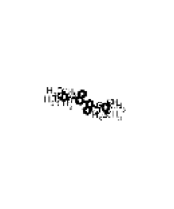 CC1(C)CC(OC(=O)c2ccc(-c3ccc(C(=O)OC4CC(C)(C)NC(C)(C)C4)c4ccccc34)c3ccccc23)CC(C)(C)C1